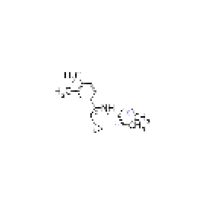 C/C=C\C(=C/C)CN[C@@H](CC1CC1)c1ccc(C)c(C)c1